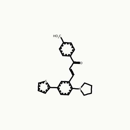 O=C(O)c1ccc(C(=O)C=Cc2cc(-c3cccs3)ccc2N2CCCC2)cc1